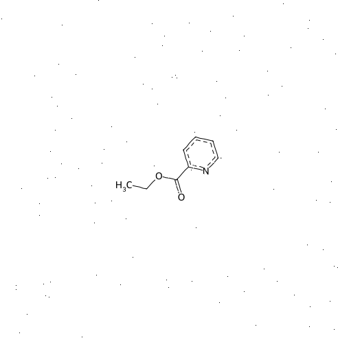 CCOC(=O)c1ccc[c]n1